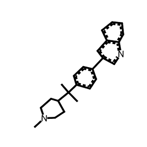 CN1CCC(C(C)(C)c2ccc(-c3cnc4ccccc4c3)cc2)CC1